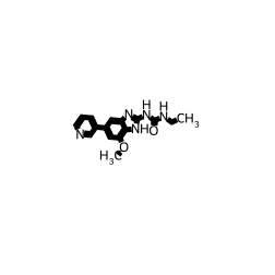 CCNC(=O)Nc1nc2cc(-c3cccnc3)cc(OC)c2[nH]1